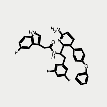 Nc1ccc(-c2ccc(Oc3ccccc3)cc2)c(C(Cc2cc(F)cc(F)c2)NC(=O)Cc2c[nH]c3ccc(F)cc23)n1